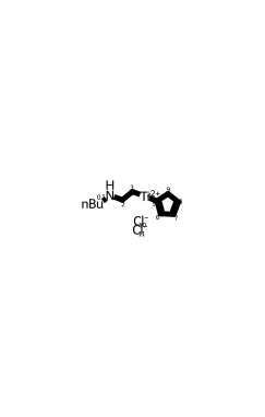 CCCCNC[CH2][Ti+2][C]1=CC=CC1.[Cl-].[Cl-]